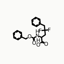 O=C(NC(CC(F)(F)Cc1ccccc1)C(=O)O)OCc1ccccc1